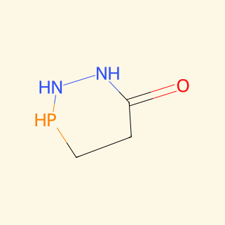 O=C1CCPNN1